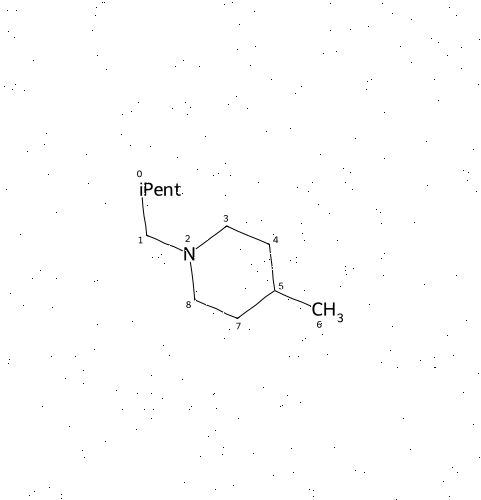 CCCC(C)CN1CCC(C)CC1